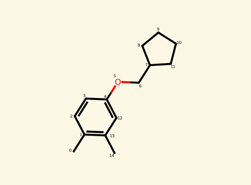 Cc1ccc(OCC2CCCC2)cc1C